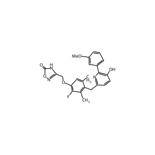 COc1cccc(-c2nc(Cc3c(C)cc(OCc4noc(=O)[nH]4)c(F)c3C)ccc2O)c1